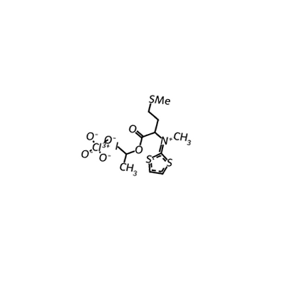 CSCCC(C(=O)OC(C)I)[N+](C)=c1sccs1.[O-][Cl+3]([O-])([O-])[O-]